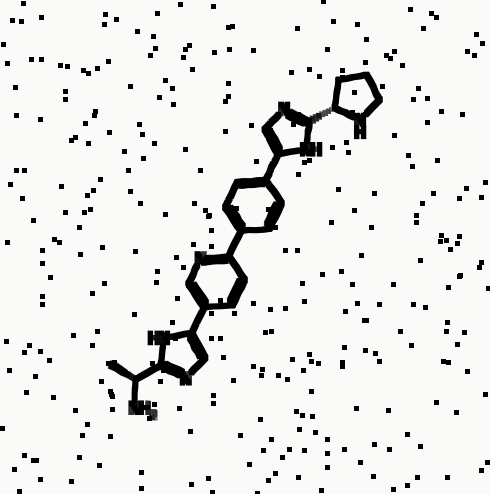 C[C@H](N)c1ncc(-c2ccc(-c3ccc(-c4cnc([C@@H]5CCCN5)[nH]4)cc3)nc2)[nH]1